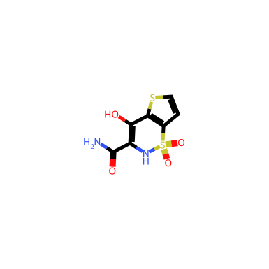 NC(=O)C1=C(O)c2sccc2S(=O)(=O)N1